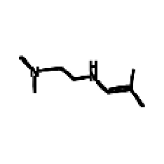 CC(C)=CNCCN(C)C